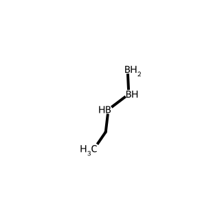 BBBCC